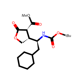 COC(=O)[C@H]1C(=O)OC[C@H]1[C@H](CC1CCCCC1)NC(=O)OC(C)(C)C